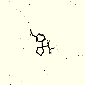 CNC(=O)C1(c2cccc(OC)c2)CCCC1